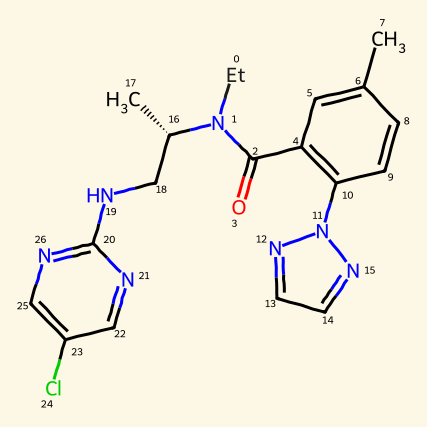 CCN(C(=O)c1cc(C)ccc1-n1nccn1)[C@@H](C)CNc1ncc(Cl)cn1